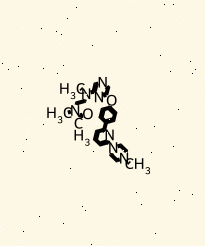 CC(=O)N(C)CCN(C)c1cncc(Oc2ccc(-c3cccc(N4CCN(C)CC4)n3)cc2)n1